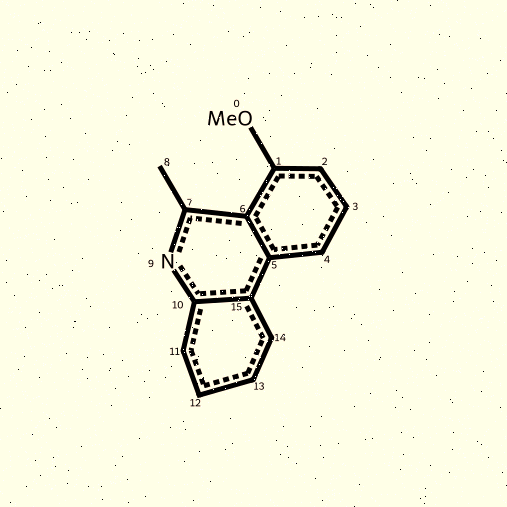 COc1cccc2c1c(C)nc1ccccc12